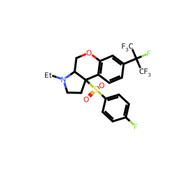 CCN1CCC2(S(=O)(=O)c3ccc(F)cc3)c3ccc(C(F)(C(F)(F)F)C(F)(F)F)cc3OCC12